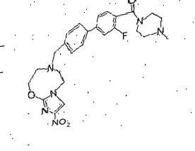 CN1CCN(C(=O)c2ccc(-c3ccc(CN4CCOc5nc([N+](=O)[O-])cn5CC4)cc3)cc2F)CC1